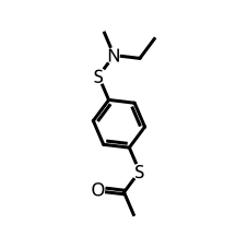 CCN(C)Sc1ccc(SC(C)=O)cc1